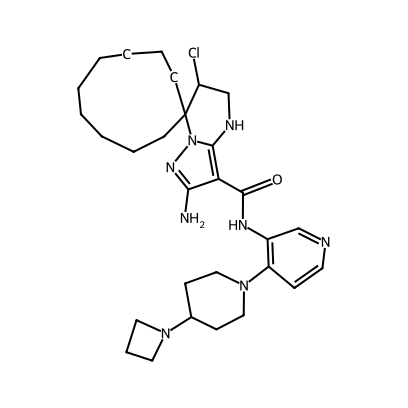 Nc1nn2c(c1C(=O)Nc1cnccc1N1CCC(N3CCC3)CC1)NCC(Cl)C21CCCCCCCCC1